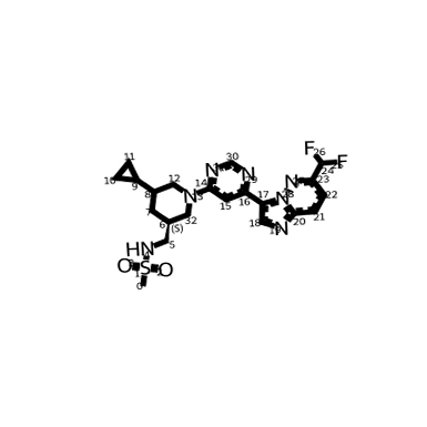 CS(=O)(=O)NC[C@H]1CC(C2CC2)CN(c2cc(-c3cnc4ccc(C(F)F)nn34)ncn2)C1